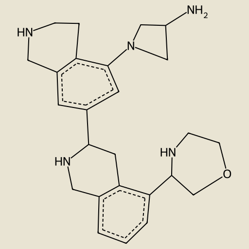 NC1CN(c2cc(C3Cc4c(cccc4C4COCCN4)CN3)cc3c2CCNC3)C1